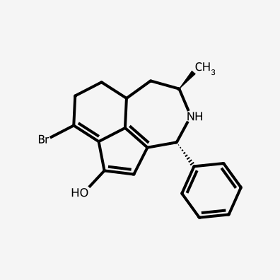 C[C@@H]1CC2CCC(Br)=C3C(O)=CC(=C32)[C@@H](c2ccccc2)N1